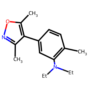 CCN(CC)c1cc(-c2c(C)noc2C)ccc1C